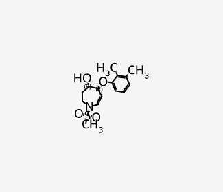 Cc1cccc(O[C@@H]2C=CN(S(C)(=O)=O)CC[C@H]2O)c1C